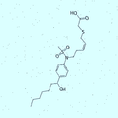 CCCCCCC(O)c1ccc(N(CC/C=C\CSCC(=O)O)S(C)(=O)=O)cc1